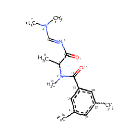 CC(C(=O)/N=C/N(C)C)N(C)C(=O)c1cc(C(F)(F)F)cc(C(F)(F)F)c1